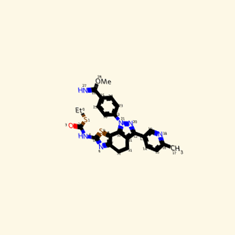 CCSC(=O)Nc1nc2c(s1)-c1c(c(-c3ccc(C)nc3)nn1-c1ccc(C(=N)OC)cc1)CC2